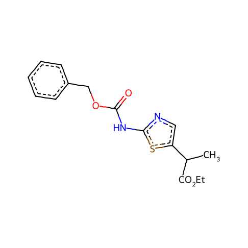 CCOC(=O)C(C)c1cnc(NC(=O)OCc2ccccc2)s1